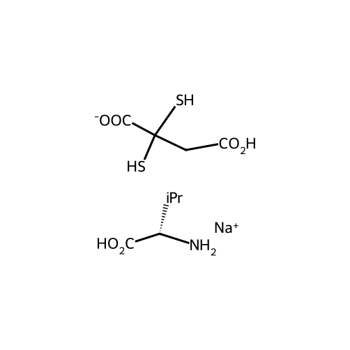 CC(C)[C@H](N)C(=O)O.O=C(O)CC(S)(S)C(=O)[O-].[Na+]